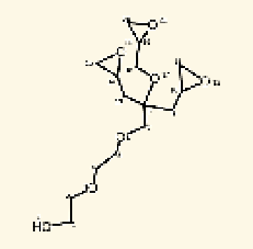 OCCOCCOCC(CC1CO1)(CC1CO1)OCC1CO1